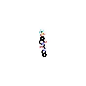 O=C1c2ccc(OS(=O)C(F)(F)F)cc2CCCN1C[C@H](O)CN1CCc2ccccc2C1